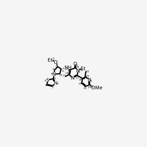 CCO[C@@H]1CN(c2nccs2)C[C@H]1Nc1c(C)nc(-c2ccc(OC)nc2C)n(CC)c1=O